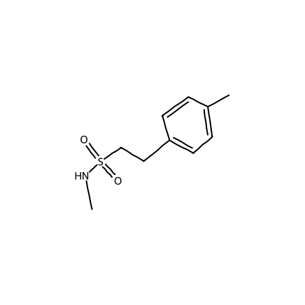 CNS(=O)(=O)CCc1ccc(C)cc1